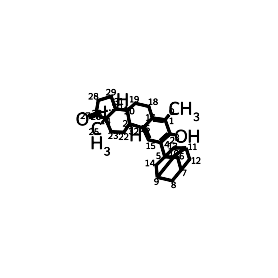 Cc1c(O)c(C23CC4CC(CC(C4)C2)C3)cc2c1CC[C@@H]1[C@@H]2CC[C@]2(C)C(=O)CC[C@@H]12